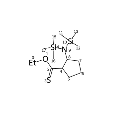 CCOC(=S)C1CCCC1N([Si](C)(C)C)[Si](C)(C)C